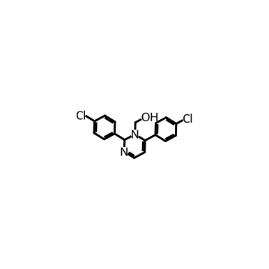 OCN1C(c2ccc(Cl)cc2)=CC=NC1c1ccc(Cl)cc1